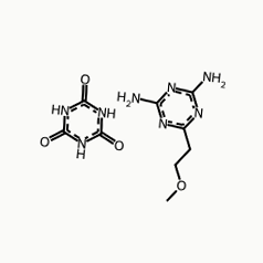 COCCc1nc(N)nc(N)n1.O=c1[nH]c(=O)[nH]c(=O)[nH]1